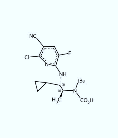 C[C@@H]([C@@H](Nc1nc(Cl)c(C#N)cc1F)C1CC1)N(C(=O)O)C(C)(C)C